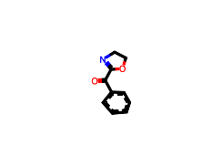 O=C(C1=NCCO1)c1ccccc1